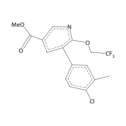 COC(=O)c1cnc(OCC(F)(F)F)c(-c2ccc(Cl)c(C)c2)c1